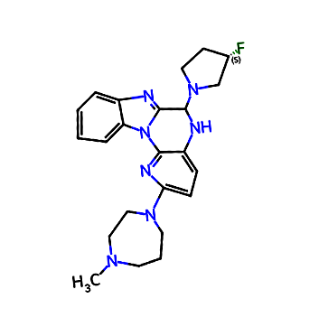 CN1CCCN(c2ccc3c(n2)-n2c(nc4ccccc42)C(N2CC[C@H](F)C2)N3)CC1